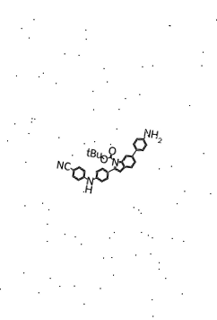 CC(C)(C)OC(=O)n1c(-c2ccc(Nc3ccc(C#N)cc3)cc2)cc2ccc(-c3ccc(N)cc3)cc21